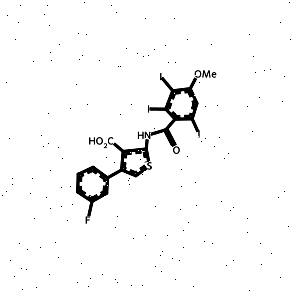 COc1cc(I)c(C(=O)Nc2scc(-c3cccc(F)c3)c2C(=O)O)c(I)c1I